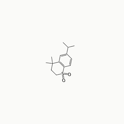 CC(C)c1ccc2c(c1)C(C)(C)CCS2(=O)=O